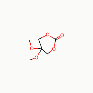 COC1(OC)COC(=O)OC1